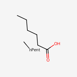 CCCCCC.CCCCCC(=O)O